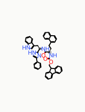 O=C(N[C@H](CCc1cccc2ccccc12)C(=O)N[C@H](Cc1c[nH]c2ccccc12)c1nc(-c2ccccc2)c[nH]1)OCC1c2ccccc2-c2ccccc21